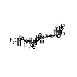 NC(=O)c1nn(-c2ccc(C(=O)NCCOCCOCCNc3cccc4c3C(=O)N(C3CCC(=O)NC3=O)C4=O)nc2)cc1NC(=O)c1coc(-c2ccnc(NCC(F)(F)F)c2)n1